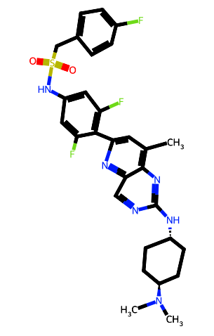 Cc1cc(-c2c(F)cc(NS(=O)(=O)Cc3ccc(F)cc3)cc2F)nc2cnc(N[C@H]3CC[C@H](N(C)C)CC3)nc12